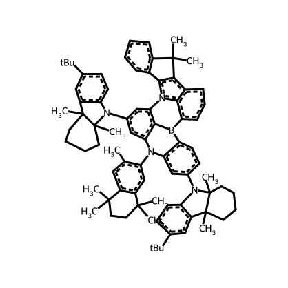 Cc1cc2c(cc1N1c3cc(N4c5ccc(C(C)(C)C)cc5C5(C)CCCCC45C)ccc3B3c4c1cc(N1c5ccc(C(C)(C)C)cc5C5(C)CCCCC15C)cc4-n1c4c(c5cccc3c51)C(C)(C)c1ccccc1-4)C(C)(C)CCC2(C)C